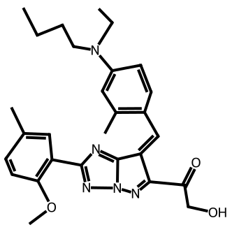 CCCCN(CC)c1ccc(/C=c2/c(C(=O)CO)nn3nc(-c4cc(C)ccc4OC)nc23)c(C)c1